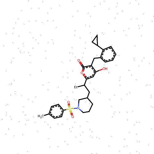 CCC(CC1CCCN(S(=O)(=O)c2ccc(C)cc2)C1)c1cc(O)c(Cc2ccccc2C2CC2)c(=O)o1